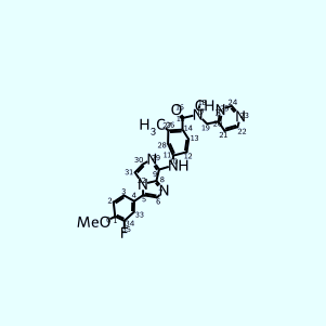 COc1ccc(-c2cnc3c(Nc4ccc(C(=O)N(C)Cc5ccncn5)c(C)c4)nccn23)cc1F